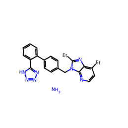 CCc1ccnc2c1nc(CC)n2Cc1ccc(-c2ccccc2-c2nnn[nH]2)cc1.N